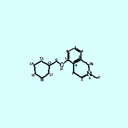 CN1CCc2c(cccc2OCC2CCCCC2)C1